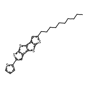 CCCCCCCCCCc1cc2c(s1)sc1c3cc(-c4cccs4)sc3sc21